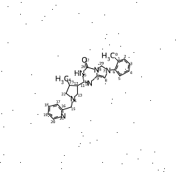 Cc1ccccc1N1C=C2N=C(C3CN(Cc4ccccn4)CC3C)NC(=O)N2C1